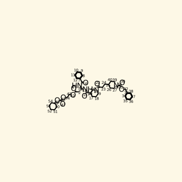 O=C(C[C@H](NC(=O)c1ccccc1)NC(=O)[C@@H]1CCCN(C(=O)CCC2CCN(C(=O)OCc3ccccc3)CC2)C1)OCCOC(=O)OC1CCCCC1